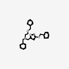 c1ccc(COCCN(Cc2ccccc2)Cc2cc(OCc3ccccc3)no2)cc1